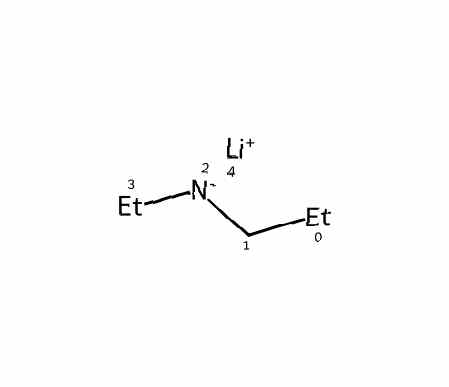 CCC[N-]CC.[Li+]